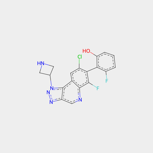 Oc1cccc(F)c1-c1c(Cl)cc2c(ncc3nnn(C4CNC4)c32)c1F